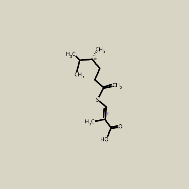 C=C(CC[C@@H](C)C(C)C)S/C=C(\C)C(=O)O